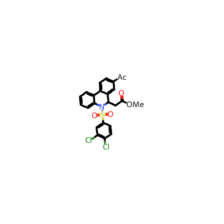 COC(=O)CC1c2cc(C(C)=O)ccc2-c2ccccc2N1S(=O)(=O)c1ccc(Cl)c(Cl)c1